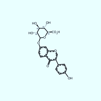 O=C(O)[C@H]1OC(Oc2ccc3c(=O)c(-c4ccc(O)cc4)coc3c2)[C@H](O)[C@@H](O)[C@@H]1O